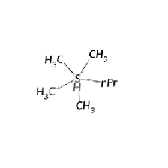 CCC[SH](C)(C)(C)C